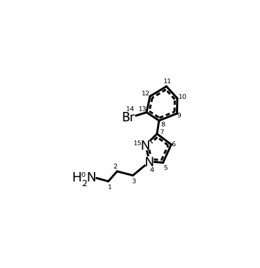 NCCCn1ccc(-c2ccccc2Br)n1